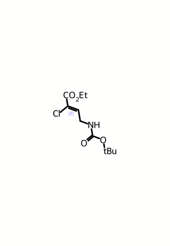 CCOC(=O)/C(Cl)=C/CNC(=O)OC(C)(C)C